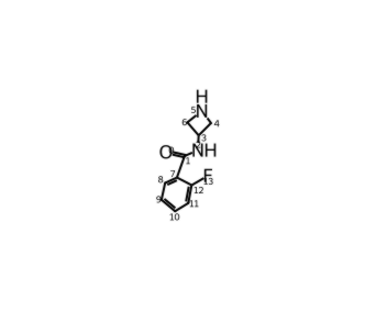 O=C(NC1CNC1)c1ccccc1F